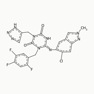 Cn1cc2cc(N=c3[nH]c(=O)n(Cc4cnn[nH]4)c(=O)n3Cc3cc(F)c(F)cc3F)c(Cl)cc2n1